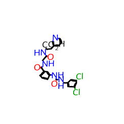 O=C(CNC(=O)c1cccc(NC(=O)NCc2cc(Cl)cc(Cl)c2)c1)NC(Cc1cccnc1)C(=O)O